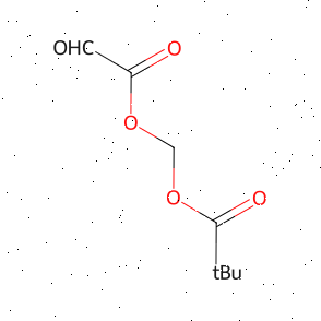 CC(C)(C)C(=O)OCOC(=O)C=O